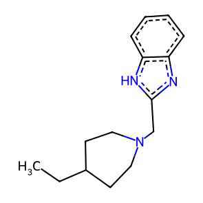 CCC1CCN(Cc2nc3ccccc3[nH]2)CC1